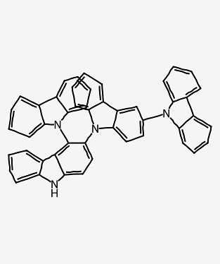 c1ccc2c(c1)[nH]c1ccc(-n3c4ccccc4c4cc(-n5c6ccccc6c6ccccc65)ccc43)c(-n3c4ccccc4c4ccccc43)c12